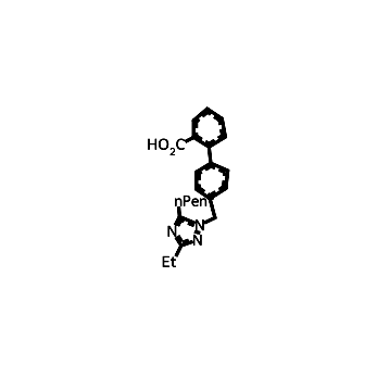 CCCCCc1nc(CC)nn1Cc1ccc(-c2ccccc2C(=O)O)cc1